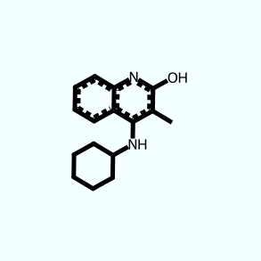 Cc1c(O)nc2ccccc2c1NC1CCCCC1